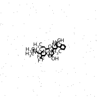 C#Cc1ncc(C(CC(=O)O)NC(=O)[C@H](CC(C)C)n2cc(CCN(C)C)c(C(F)(F)F)cc2=O)cc1-c1c(C)cccc1C